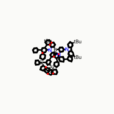 CC(C)(C)c1ccc2c(c1)N(c1ccc(-c3ccccc3)cc1-c1ccccc1)c1cc(-c3cc([Si](c4ccccc4)(c4ccccc4)c4cccc(-c5ccccc5)c4)cc([Si](c4ccccc4)(c4ccccc4)c4cccc(-c5ccccc5)c4)c3)cc3c1B2c1ccc(-n2c4ccc(C(C)(C)C)cc4c4cc(C(C)(C)C)ccc42)cc1N3c1cccc(-c2ccccc2)c1